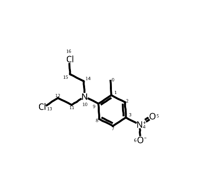 Cc1cc([N+](=O)[O-])ccc1N(CCCl)CCCl